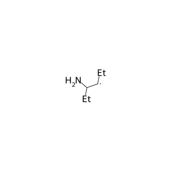 CC[CH]C(N)CC